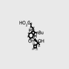 CCCCC1/C(=C/CCC(=O)O)[C@@H]2CC[C@H](O)[C@@H](C#CC(C)(O)C3CCC3)[C@H]12